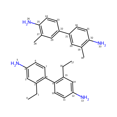 CCc1cc(N)ccc1-c1ccc(N)cc1CC.Cc1cc(-c2ccc(N)c(C)c2)ccc1N